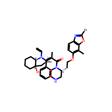 C=CN(/C(=C(\C)C(=O)N1CCNC[C@H]1CCOc1ccc2nc(CC)oc2c1C)c1ccccc1)[C@@H]1CCCC[C@@]1(O)COC